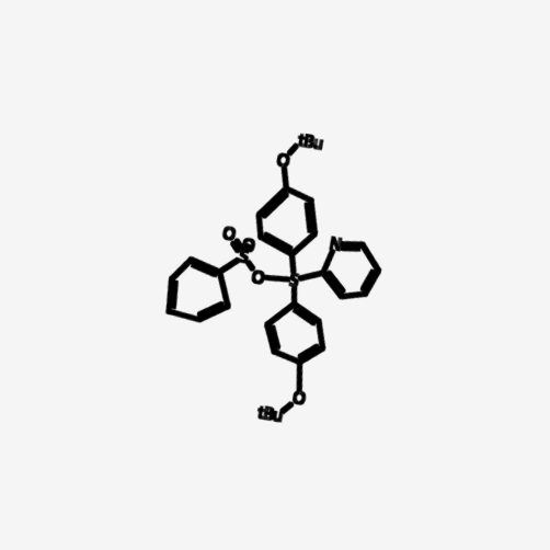 CC(C)(C)Oc1ccc(S(OS(=O)(=O)c2ccccc2)(c2ccc(OC(C)(C)C)cc2)c2ccccn2)cc1